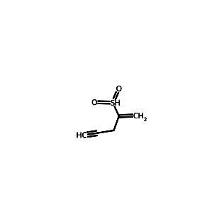 C#CCC(=C)[SH](=O)=O